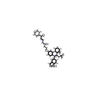 O=C(/C=C/CNCCOc1ccc(/C(=C(/CC(F)(F)F)c2ccccc2)c2ccc3[nH]ncc3c2)cc1)N1CCOCC1